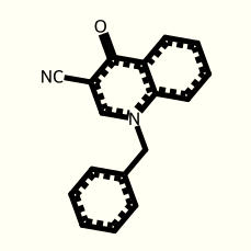 N#Cc1cn(Cc2ccccc2)c2ccccc2c1=O